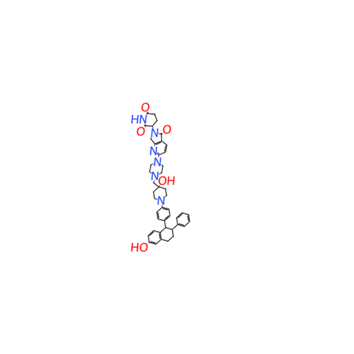 O=C1CCC(N2Cc3nc(N4CCN(CC5(O)CCN(c6ccc(C7c8ccc(O)cc8CCC7c7ccccc7)cc6)CC5)CC4)ccc3C2=O)C(=O)N1